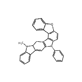 CN1c2ccccc2C2=Cc3c(c4c5c(ccc4n3-c3ccccc3)oc3ccccc35)CC21